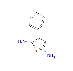 Nc1cc(-c2ccccc2)c(N)s1